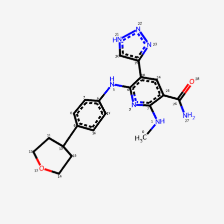 CNc1nc(Nc2ccc(C3CCOCC3)cc2)c(-c2c[nH]nn2)cc1C(N)=O